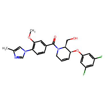 COc1cc(C(=O)N2CC=C[C@H](Oc3cc(F)cc(F)c3)[C@@H]2CO)ccc1-n1cnc(C)c1